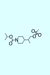 CC(C)OC(=O)N1CCC(C(C)COS(C)(=O)=O)CC1